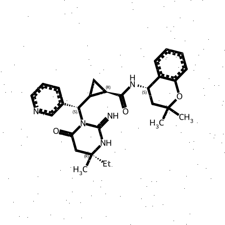 CC[C@]1(C)CC(=O)N([C@H](c2cccnc2)C2C[C@H]2C(=O)N[C@H]2CC(C)(C)Oc3ccccc32)C(=N)N1